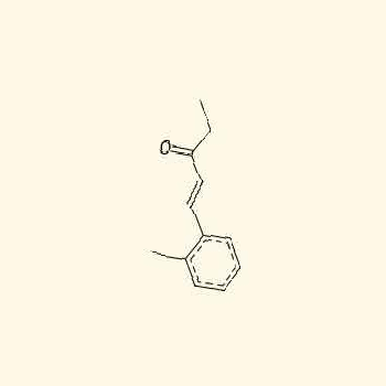 CCC(=O)/C=C/c1ccccc1C